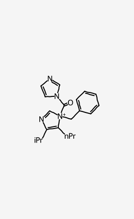 CCCC1=C(C(C)C)N=C[N+]1(Cc1ccccc1)C(=O)n1ccnc1